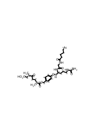 CC(=O)CCCCC(=O)NCC(=O)NC(CCCNC(N)=O)NOc1ccc(COC(=O)N(C)CCC(=O)N(C)CC(=O)O)cc1